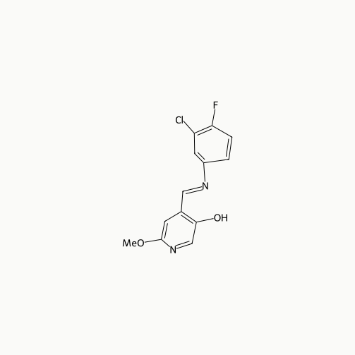 COc1cc(/C=N/c2ccc(F)c(Cl)c2)c(O)cn1